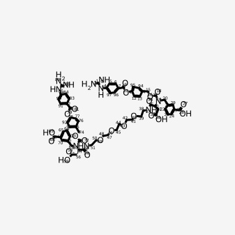 N=C(N)Nc1ccc(C(=O)Oc2ccc(COC(=O)N(Cc3cccc(C(=O)O)c3)C(CC(=O)O)C(=O)NCCOCCOCCOCCOCCNC(=O)[C@H](CC(=O)O)N(Cc3cccc(C(=O)O)c3)C(=O)OCc3ccc(OC(=O)c4ccc(NC(=N)N)cc4)cc3)cc2)cc1